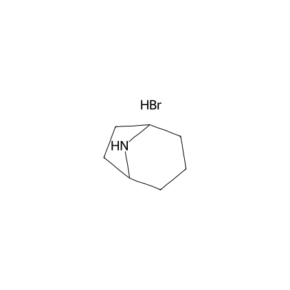 Br.C1CC2CCC(C1)N2